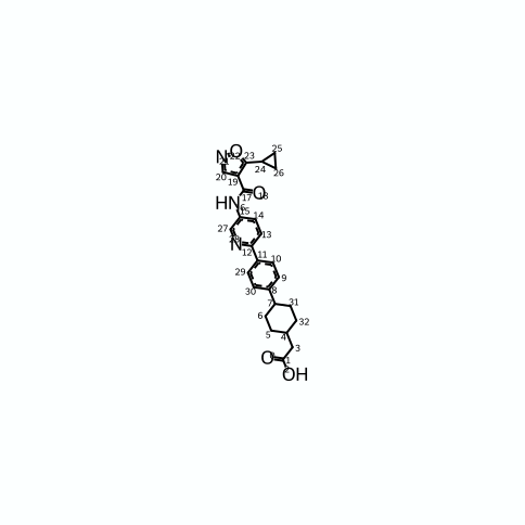 O=C(O)CC1CCC(c2ccc(-c3ccc(NC(=O)c4cnoc4C4CC4)cn3)cc2)CC1